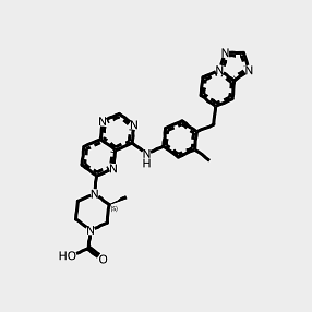 Cc1cc(Nc2ncnc3ccc(N4CCN(C(=O)O)C[C@@H]4C)nc23)ccc1Cc1ccn2ncnc2c1